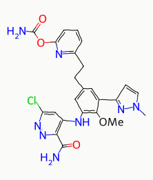 COc1c(Nc2cc(Cl)nnc2C(N)=O)cc(CCc2cccc(OC(N)=O)n2)cc1-c1ccn(C)n1